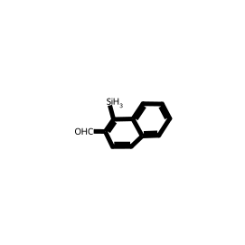 O=Cc1ccc2ccccc2c1[SiH3]